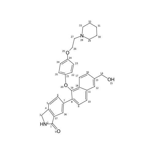 O=C1NCc2ccc(-c3ccc4cc(CO)ccc4c3Oc3ccc(OCCN4CCCCC4)cc3)cc21